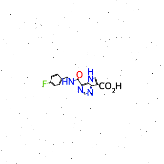 O=C(O)c1c[nH]c2c(C(=O)NCc3ccc(F)cc3)ncnc12